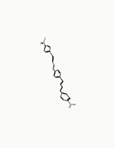 O=[N+]([O-])c1ccc(/C=C/C=C/c2ccc(/C=C/C=C/c3ccc([N+](=O)[O-])cc3)cc2)cc1